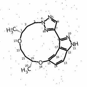 C[C@@H]1CCn2ncc(n2)-c2n[nH]c3ccc(cc23)O[C@H](C)CCO1